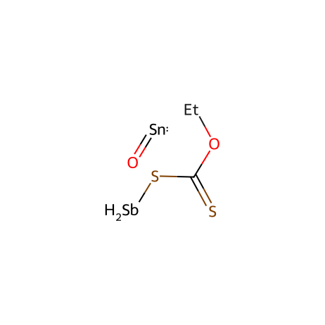 CCOC(=S)[S][SbH2].[O]=[Sn]